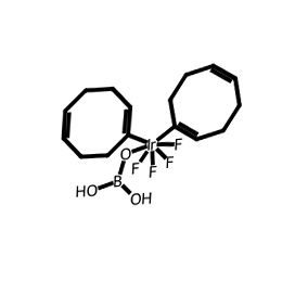 OB(O)[O][Ir]([F])([F])([F])([F])([C]1=CCCC=CCC1)[C]1=CCCC=CCC1